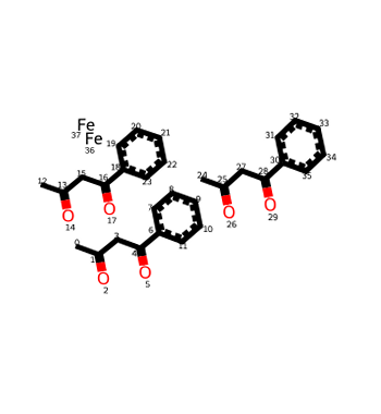 CC(=O)CC(=O)c1ccccc1.CC(=O)CC(=O)c1ccccc1.CC(=O)CC(=O)c1ccccc1.[Fe].[Fe]